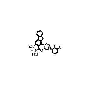 CCCCc1cc2c(c(N3CCN(c4cccc(Cl)c4C)CC3)c1C(N)=O)Cc1ccccc1-2.Cl